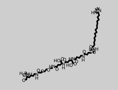 O=C[C@](CO)(CCCCNC(=O)COCCOCCNC(=O)CCC(NC(=O)CCC(NC(=O)CCCNC(=O)CCCS(=O)(=O)NC(=O)CCCCCCCCCCCCCCCc1nnn[nH]1)C(=O)O)C(=O)O)NP